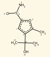 Cc1oc([S+](N)[O-])cc1C(C)(C)O